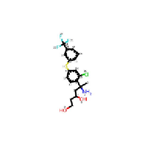 CC(N)(CC(O)CCO)c1ccc(Sc2cccc(C(F)(F)F)c2)cc1Cl